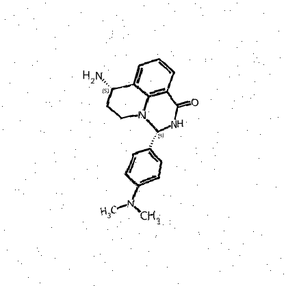 CN(C)c1ccc([C@H]2NC(=O)c3cccc4c3N2CC[C@@H]4N)cc1